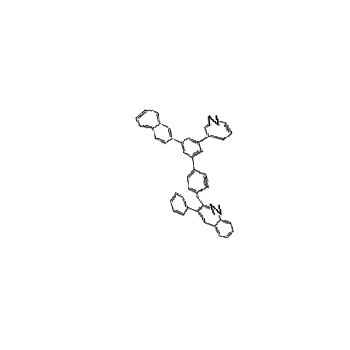 c1ccc(-c2cc3ccccc3nc2-c2ccc(-c3cc(-c4cccnc4)cc(-c4ccc5ccccc5c4)c3)cc2)cc1